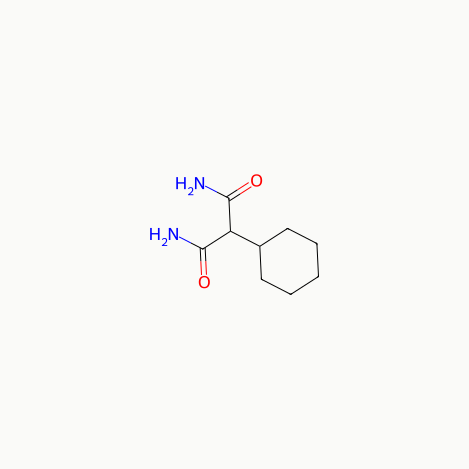 NC(=O)C(C(N)=O)C1CCCCC1